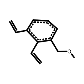 C=Cc1cccc(COC)c1C=C